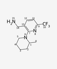 CC1CCCCN1c1nc(C(F)(F)F)ccc1CN